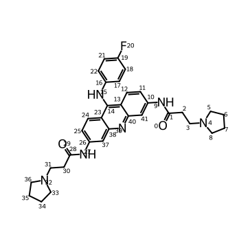 O=C(CCN1CCCC1)Nc1ccc2c(Nc3ccc(F)cc3)c3ccc(NC(=O)CCN4CCCC4)cc3nc2c1